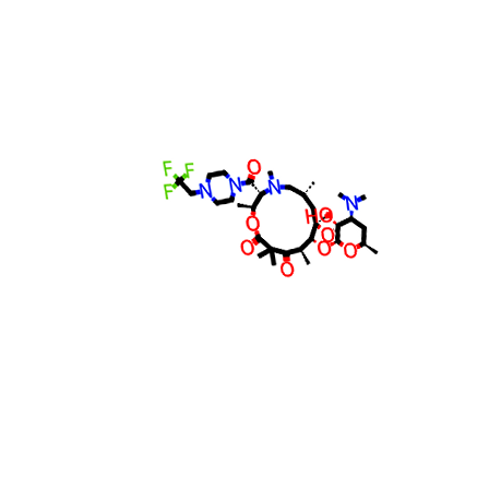 CO[C@]1(C)C[C@@H](C)CN(C)[C@@H](C(=O)N2CCN(CC(F)(F)F)CC2)[C@H](C)OC(=O)C(C)(C)C(=O)[C@H](C)[C@H]1O[C@@H]1O[C@H](C)C[C@H](N(C)C)[C@H]1O